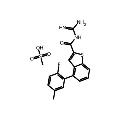 CS(=O)(=O)O.Cc1ccc(F)c(-c2cccc3sc(C(=O)NC(=N)N)cc23)c1